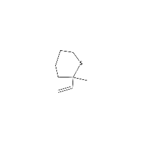 C=CC1(C)CCCCS1